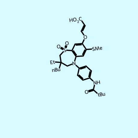 CCCCC1(CC)CN(c2ccc(NC(=O)C(C)(C)C)cc2)c2cc(SC)c(OC=CC(=O)O)cc2S(=O)(=O)C1